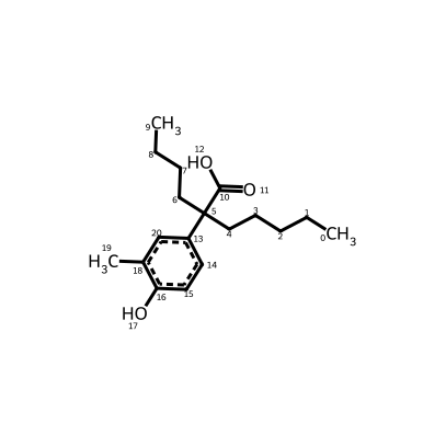 CCCCCC(CCCC)(C(=O)O)c1ccc(O)c(C)c1